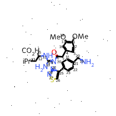 COc1ccc(CC(=O)N=C(N)NC(CC(C)C)C(=O)O)cc1OC.NCc1ccc(-c2csnn2)cc1